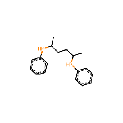 CC(CCC(C)Pc1ccccc1)Pc1ccccc1